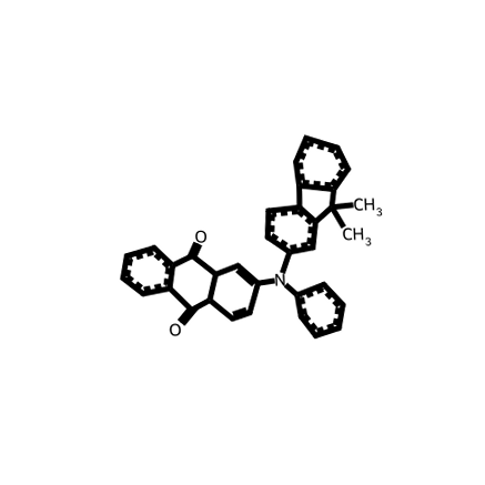 CC1(C)c2ccccc2-c2ccc(N(C3=CC4C(=O)c5ccccc5C(=O)C4C=C3)c3ccccc3)cc21